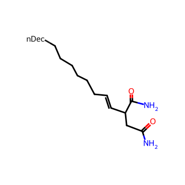 CCCCCCCCCCCCCCCCC=CC(CC(N)=O)C(N)=O